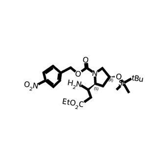 CCOC(=O)CC(N)[C@@H]1C[C@@H](O[Si](C)(C)C(C)(C)C)CN1C(=O)OCc1ccc([N+](=O)[O-])cc1